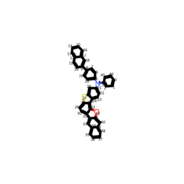 c1ccc(N(c2ccc(-c3ccc4ccccc4c3)cc2)c2ccc3c(c2)sc2ccc4c5cc6ccccc6cc5oc4c23)cc1